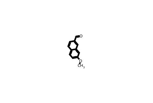 COc1ccc2ccc([C]=O)cc2c1